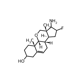 C[C@]12CCC(O)CC1=CC[C@@H]1[C@H]2OC[C@]2(C)C(N)C(F)C[C@@H]12